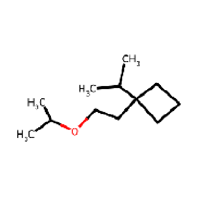 CC(C)OCCC1(C(C)C)CCC1